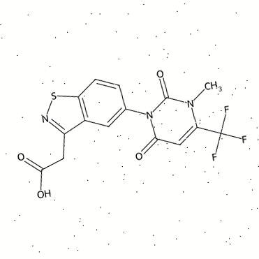 Cn1c(C(F)(F)F)cc(=O)n(-c2ccc3snc(CC(=O)O)c3c2)c1=O